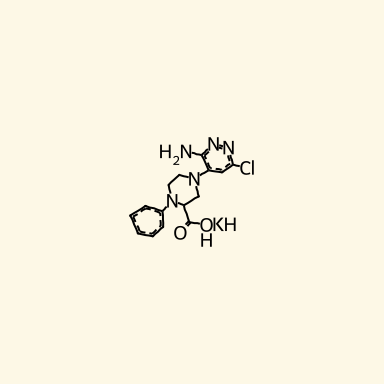 Nc1nnc(Cl)cc1N1CCN(c2ccccc2)C(C(=O)O)C1.[KH]